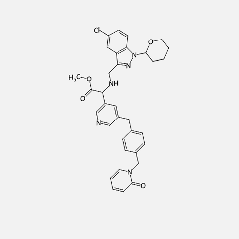 COC(=O)C(NCc1nn(C2CCCCO2)c2ccc(Cl)cc12)c1cncc(Cc2ccc(Cn3ccccc3=O)cc2)c1